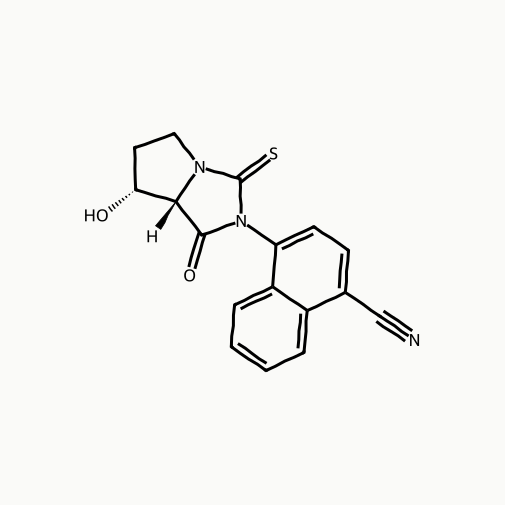 N#Cc1ccc(N2C(=O)[C@@H]3[C@H](O)CCN3C2=S)c2ccccc12